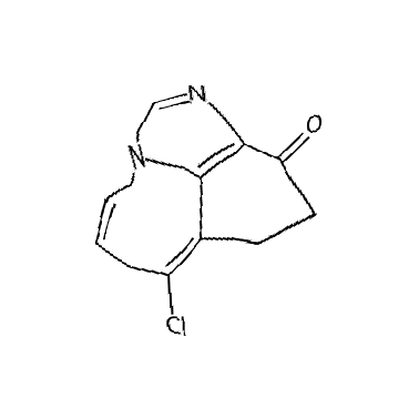 O=C1CCc2c(Cl)ccn3cnc1c23